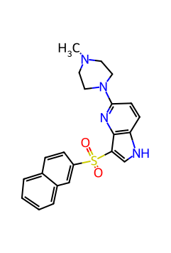 CN1CCN(c2ccc3[nH]cc(S(=O)(=O)c4ccc5ccccc5c4)c3n2)CC1